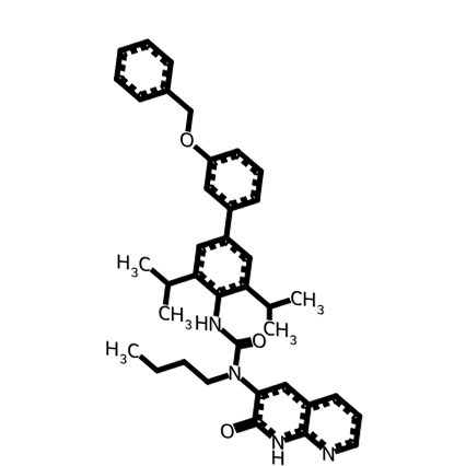 CCCCN(C(=O)Nc1c(C(C)C)cc(-c2cccc(OCc3ccccc3)c2)cc1C(C)C)c1cc2cccnc2[nH]c1=O